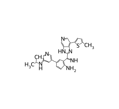 Cc1ccc(-c2cncc3[nH]c(C(=N)c4cc(-c5cncc(NC(C)C)c5)ccc4N)nc23)s1